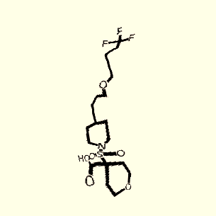 O=C(O)C1(S(=O)(=O)N2CCC(CCOCCCC(F)(F)F)CC2)CCOCC1